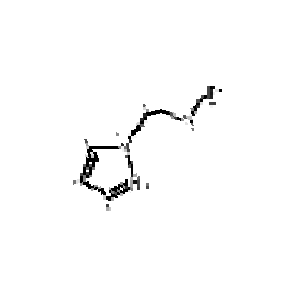 CC(C)OCn1cccn1